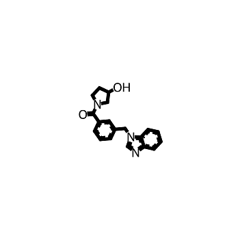 O=C(c1cccc(Cn2cnc3ccccc32)c1)N1CCC(O)C1